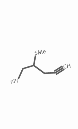 C#CCC(CCC[CH2])SC